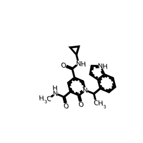 CNC(=O)c1cc(C(=O)NC2CC2)cn(C(C)c2cccc3[nH]ccc23)c1=O